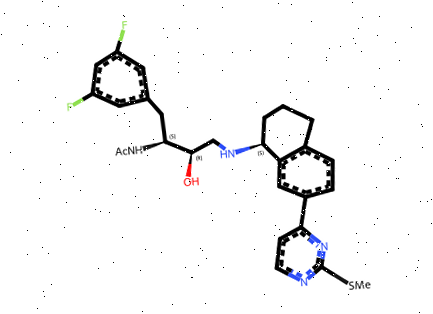 CSc1nccc(-c2ccc3c(c2)[C@@H](NC[C@@H](O)[C@H](Cc2cc(F)cc(F)c2)NC(C)=O)CCC3)n1